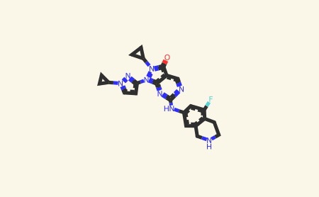 O=c1c2cnc(Nc3cc(F)c4c(c3)CNCC4)nc2n(-c2ccn(C3CC3)n2)n1C1CC1